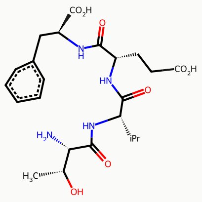 CC(C)[C@H](NC(=O)[C@@H](N)[C@@H](C)O)C(=O)N[C@@H](CCC(=O)O)C(=O)N[C@@H](Cc1ccccc1)C(=O)O